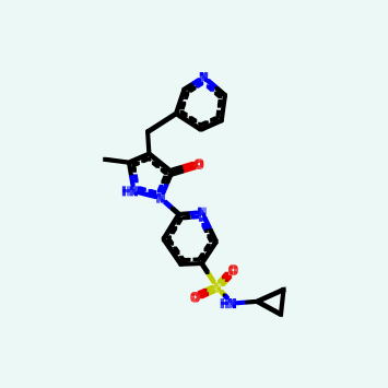 Cc1[nH]n(-c2ccc(S(=O)(=O)NC3CC3)cn2)c(=O)c1Cc1cccnc1